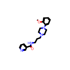 COc1ccccc1N1CCN(CCCNC(=O)c2cccnc2)CC1